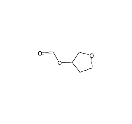 O=[C]OC1CCOC1